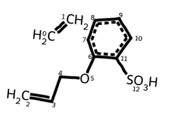 C=C.C=CCOc1ccccc1S(=O)(=O)O